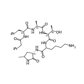 CC(C)CC(=O)N[C@@H](CC(C)C)C(=O)N[C@@H](C)C(=O)N[C@H](C(=O)NC(CCCCN)C(=O)N[C@H]1CC(C)NC1=O)[C@@H](C)O